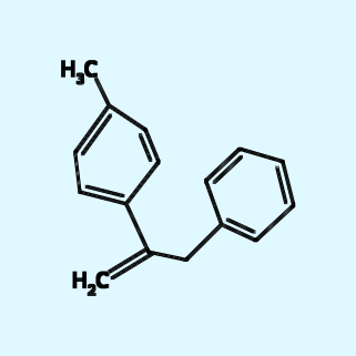 C=C(Cc1ccccc1)c1ccc(C)cc1